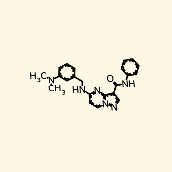 CN(C)c1cccc(CNc2ccn3ncc(C(=O)Nc4ccccc4)c3n2)c1